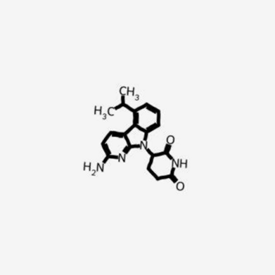 CC(C)c1cccc2c1c1ccc(N)nc1n2C1CCC(=O)NC1=O